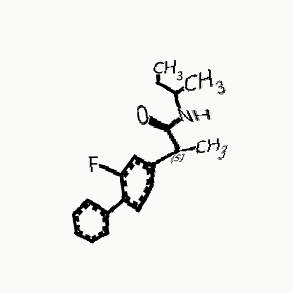 CCC(C)NC(=O)[C@@H](C)c1ccc(-c2ccccc2)c(F)c1